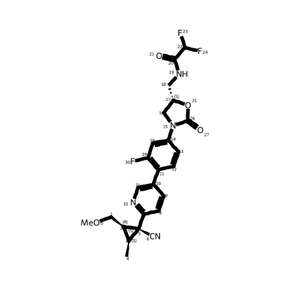 COC[C@@H]1[C@H](C)[C@@]1(C#N)c1ccc(-c2ccc(N3C[C@H](CNC(=O)C(F)F)OC3=O)cc2F)cn1